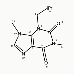 CC(C)Cn1c(=O)n(C)c(=O)c2ncn(C)c21